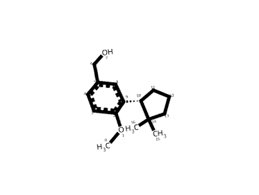 COc1ccc(CO)cc1[C@@H]1CCCC1(C)C